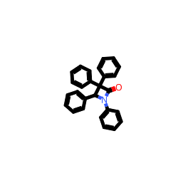 O=C1N(c2ccccc2)C(c2ccccc2)C1(c1ccccc1)c1ccccc1